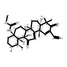 COC(=O)N[C@]12CC[C@@H](C)[C@H](C)[C@H]1[C@H]1C(=O)C=C3[C@@]4(C)C=C(C#N)C(=O)C(C)(C)[C@@H]4CC[C@@]3(C)[C@]1(C)CC2